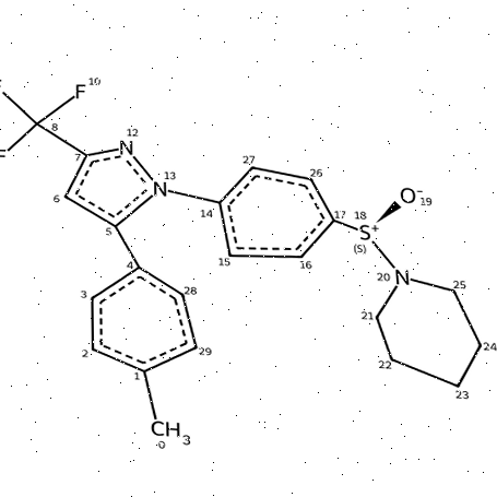 Cc1ccc(-c2cc(C(F)(F)F)nn2-c2ccc([S@@+]([O-])N3CCCCC3)cc2)cc1